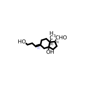 C[C@]12CC/C(=C\CCO)C[C@@]1(O)CC[C@@H]2C=O